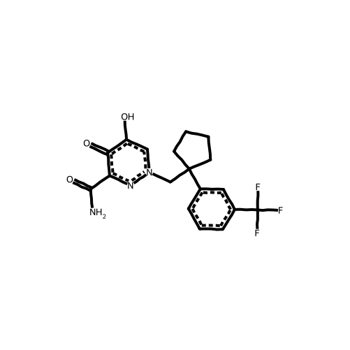 NC(=O)c1nn(CC2(c3cccc(C(F)(F)F)c3)CCCC2)cc(O)c1=O